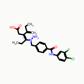 C=C(CC)/C(CC(=O)O)=C(/CC)N(N)Cc1ccc(C(=O)Nc2ccc(Cl)c(F)c2)cc1